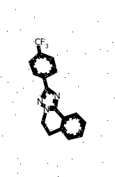 FC(F)(F)c1ccc(-c2nc3n(n2)CCc2ccccc2-3)cc1